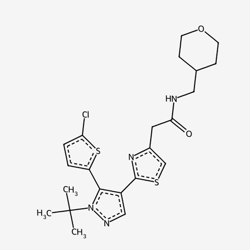 CC(C)(C)n1ncc(-c2nc(CC(=O)NCC3CCOCC3)cs2)c1-c1ccc(Cl)s1